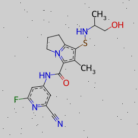 Cc1c(SNC(C)CO)c2n(c1C(=O)Nc1cc(F)nc(C#N)c1)CCC2